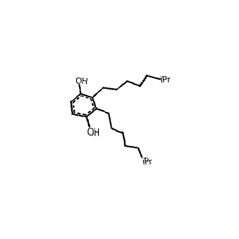 CC(C)CCCCCc1c(O)ccc(O)c1CCCCCC(C)C